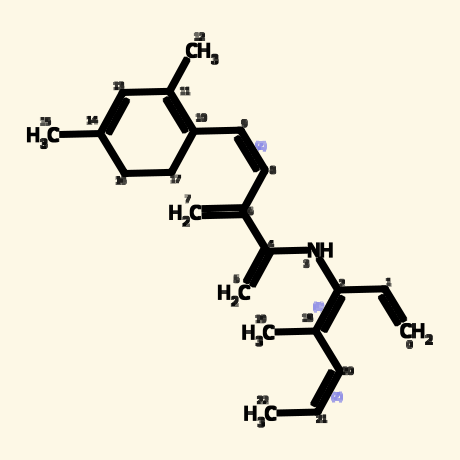 C=C/C(NC(=C)C(=C)/C=C\C1=C(C)C=C(C)CC1)=C(C)\C=C/C